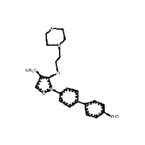 CCOC(=O)c1cnn(-c2ccc(-c3ccc(C=O)cc3)cc2)c1OCCN1CCOCC1